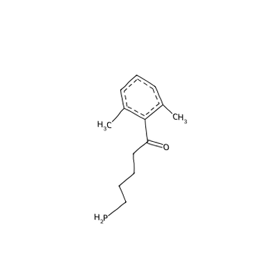 Cc1cccc(C)c1C(=O)CCCCP